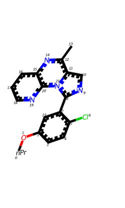 CCCOc1ccc(Cl)c(-c2ncc3c(C)nc4cccnc4n23)c1